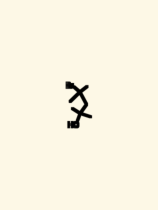 CC(C)(O)CC(C)(C)Br